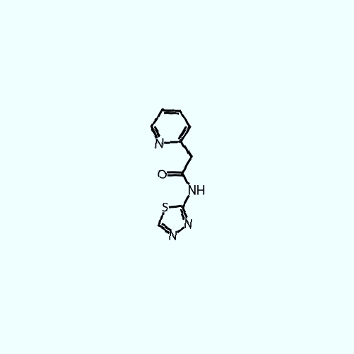 O=C(Cc1ccccn1)Nc1nncs1